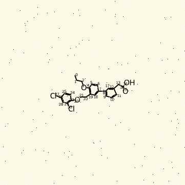 CCCOc1ccc(-c2cccc(CC(=O)O)c2)cc1CCOc1ccc(Cl)cc1Cl